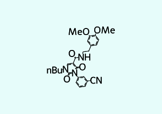 CCCCn1cc(C(=O)NCCc2ccc(OC)c(OC)c2)c(=O)n(-c2cccc(C#N)c2)c1=O